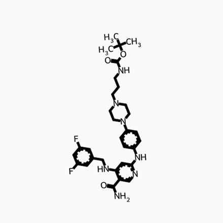 CC(C)(C)OC(=O)NCCCN1CCN(c2ccc(Nc3cc(NCc4cc(F)cc(F)c4)c(C(N)=O)cn3)cc2)CC1